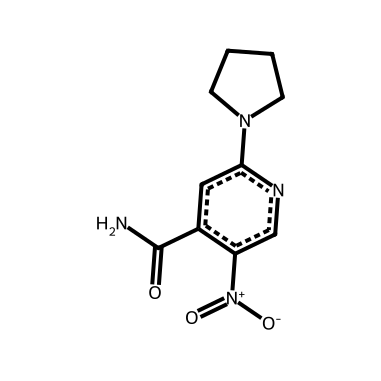 NC(=O)c1cc(N2CCCC2)ncc1[N+](=O)[O-]